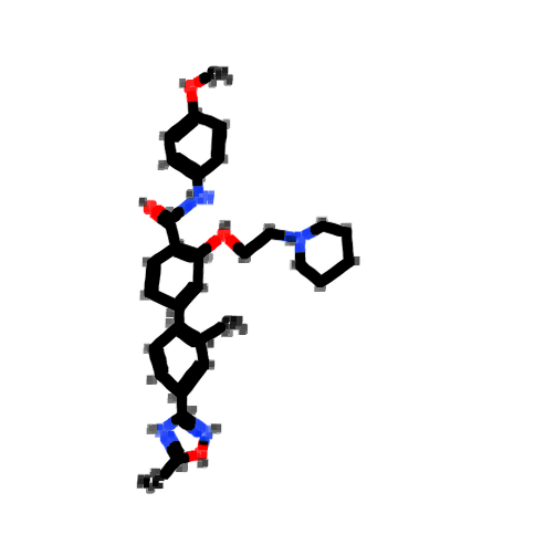 COc1ccc(NC(=O)c2ccc(-c3ccc(-c4noc(C)n4)cc3C)cc2OCCN2CCCCC2)cc1